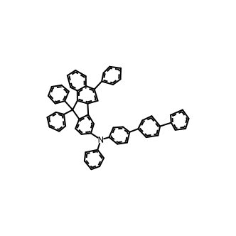 c1ccc(-c2ccc(-c3ccc(N(c4ccccc4)c4ccc5c(c4)-c4cc(-c6ccccc6)c6ccccc6c4C5(c4ccccc4)c4ccccc4)cc3)cc2)cc1